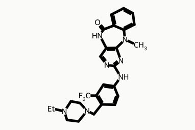 CCN1CCN(Cc2ccc(Nc3ncc4c(n3)N(C)c3ccccc3C(=O)N4)cc2C(F)(F)F)CC1